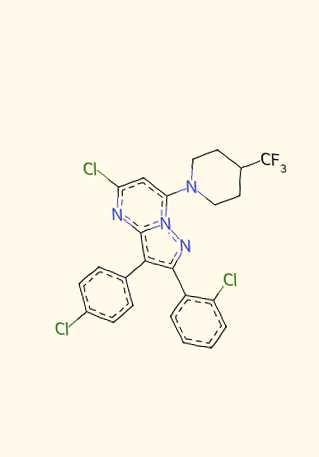 FC(F)(F)C1CCN(c2cc(Cl)nc3c(-c4ccc(Cl)cc4)c(-c4ccccc4Cl)nn23)CC1